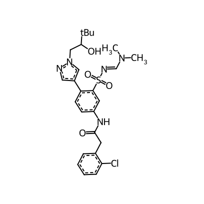 CN(C)/C=N/S(=O)(=O)c1cc(NC(=O)Cc2ccccc2Cl)ccc1-c1cnn(CC(O)C(C)(C)C)c1